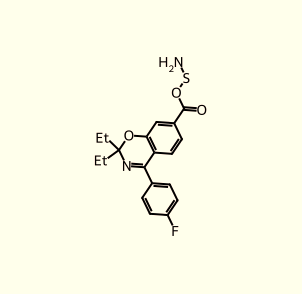 CCC1(CC)N=C(c2ccc(F)cc2)c2ccc(C(=O)OSN)cc2O1